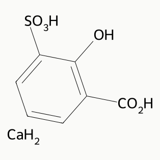 O=C(O)c1cccc(S(=O)(=O)O)c1O.[CaH2]